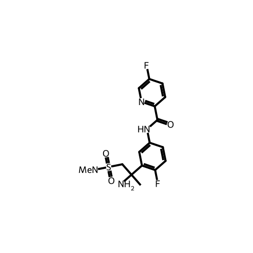 CNS(=O)(=O)CC(C)(N)c1cc(NC(=O)c2ccc(F)cn2)ccc1F